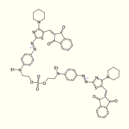 CCN(CCOS(=O)(=O)OCCN(CC)c1ccc(/N=N/c2nc(N3CCCCC3)c(C=C3C(=O)c4ccccc4C3=O)s2)cc1)c1ccc(/N=N/c2nc(N3CCCCC3)c(C=C3C(=O)c4ccccc4C3=O)s2)cc1